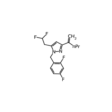 C=C(CCC)c1cc(CC(F)F)n(Cc2ccc(F)cc2F)n1